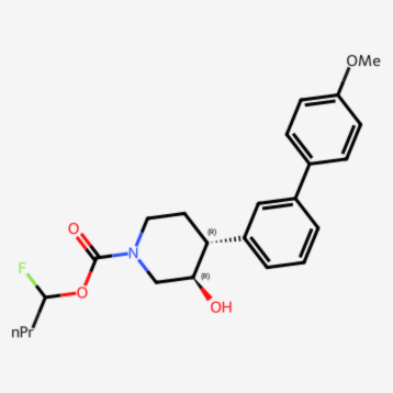 CCCC(F)OC(=O)N1CC[C@H](c2cccc(-c3ccc(OC)cc3)c2)[C@@H](O)C1